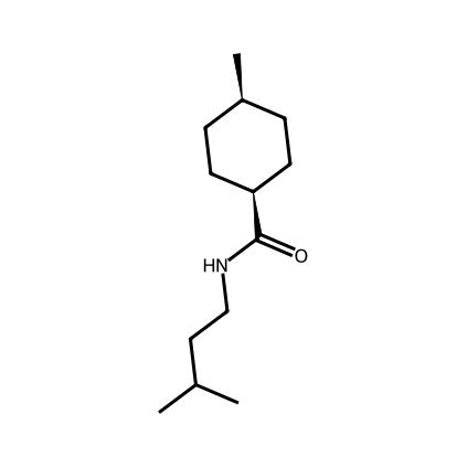 CC(C)CCNC(=O)[C@H]1CC[C@@H](C)CC1